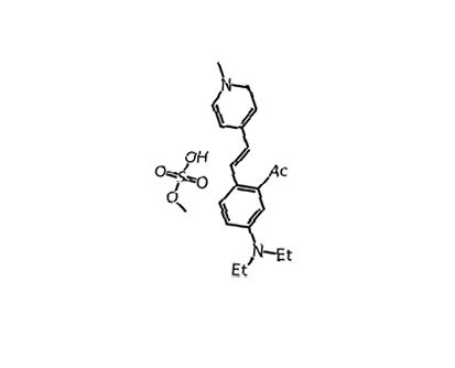 CCN(CC)c1ccc(C=CC2=CCN(C)C=C2)c(C(C)=O)c1.COS(=O)(=O)O